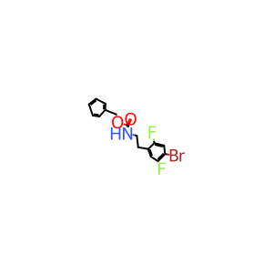 O=C(NCCc1cc(F)c(Br)cc1F)OCc1ccccc1